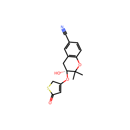 CC1(C)Oc2ccc(C#N)cc2C[C@]1(O)OC1=CC(=O)SC1